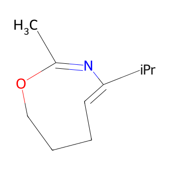 C/C1=N/C(C(C)C)=C/CCCO1